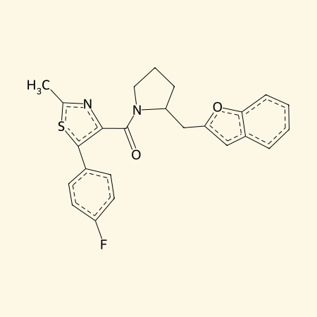 Cc1nc(C(=O)N2CCCC2Cc2cc3ccccc3o2)c(-c2ccc(F)cc2)s1